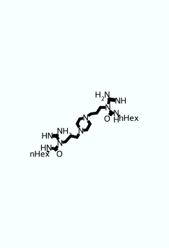 CCCCCCNC(=O)N(CCCN1CCN(CCCN(C(=N)N)C(=O)NCCCCCC)CC1)C(=N)N